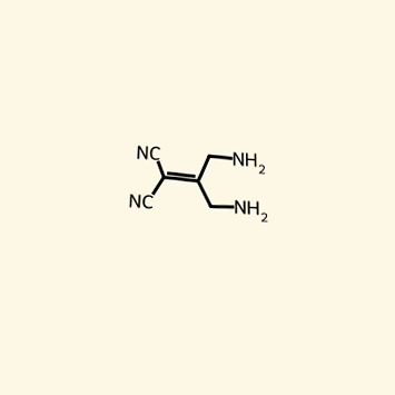 N#CC(C#N)=C(CN)CN